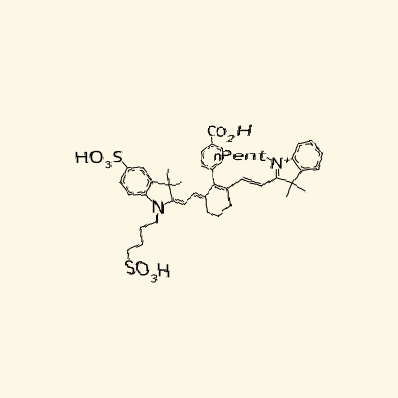 CCCCC[N+]1=C(/C=C/C2=C(c3ccc(C(=O)O)cc3)C(=C/C=C3/N(CCCCS(=O)(=O)O)c4ccc(S(=O)(=O)O)cc4C3(C)C)/CCC2)C(C)(C)c2ccccc21